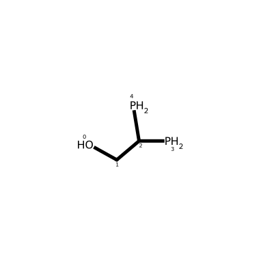 OCC(P)P